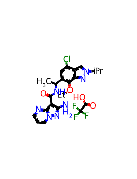 CCOc1c(C(C)NC(=O)c2c(N)nn3cccnc23)cc(Cl)c2cn(C(C)C)nc12.O=C(O)C(F)(F)F